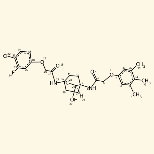 Cc1cc(OCC(=O)NC23CCC(NC(=O)COc4ccc(Cl)c(F)c4)(CC2)C[C@@H]3O)cc(C)c1C